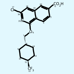 O=C(O)c1ccc2c(OC[C@H]3CC[C@H](C(F)(F)F)CC3)nc(Cl)cc2c1